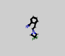 N#Cc1ccccc1CCN1CC(F)(F)C1